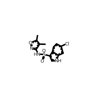 Cc1onc(NS(=O)(=O)c2c[nH]c3cc(Cl)ccc23)c1C